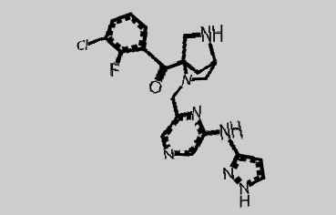 O=C(c1cccc(Cl)c1F)C12CNC(CN1Cc1cncc(Nc3cc[nH]n3)n1)C2